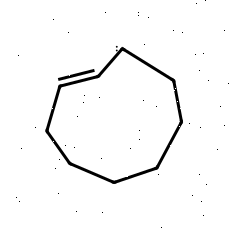 [C]1/C=C/CCCCCC1